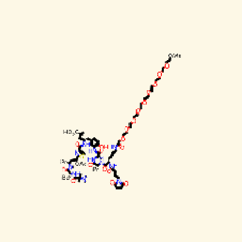 CC[C@H](C)[C@H](NC(=O)C(C)(C)N(C)C)C(=O)N(C)[C@H](C[C@@H](OC(C)=O)c1nc(C(=O)N[C@@H](Cc2ccc(O)c(NC(=O)[C@H](C)NC(=O)[C@@H](NC(=O)[C@H](CCCCNC(=O)COCCOCCOCCOCCOCCOCCOCCOCCOCCOC)NC(=O)CCCN3C(=O)C=CC3=O)C(C)C)c2)C[C@H](C)C(=O)O)cs1)C(C)C